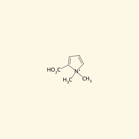 C[N+]1(C)C=CC=C1C(=O)O